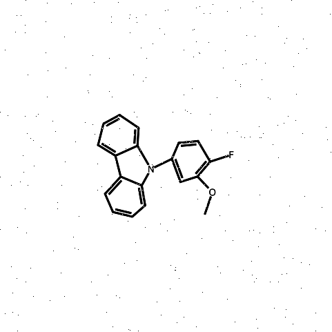 COc1cc(-n2c3ccccc3c3ccccc32)ccc1F